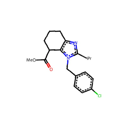 COC(=O)C1CCCc2nc(C(C)C)n(Cc3ccc(Cl)cc3)c21